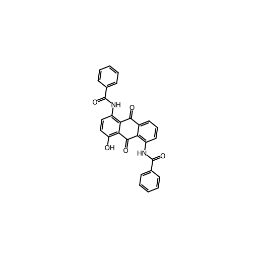 O=C(Nc1cccc2c1C(=O)c1c(O)ccc(NC(=O)c3ccccc3)c1C2=O)c1ccccc1